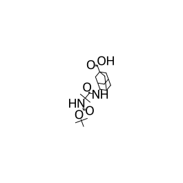 CC(C)(C)OC(=O)NC(C)(C)C(=O)NC1C2CC3CC1CC(C(=O)O)(C3)C2